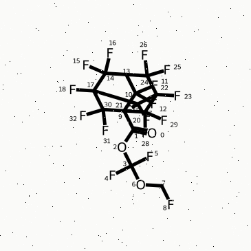 O=C(OC(F)(F)OCF)C12C(F)(F)C3C(F)(F)C(F)(C(F)(F)C(F)(C3(F)F)C1(F)F)C2(F)F